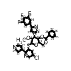 COC1C(Sc2cc(Cl)cnc2-c2ccncc2)OC2COC(c3ccccc3)OC2C1n1cc(-c2cc(F)c(F)c(F)c2)nn1